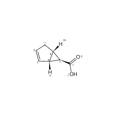 O=C(O)[C@H]1[C@@H]2C=CC[C@@H]21